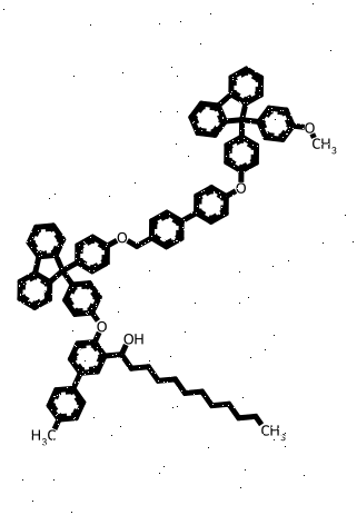 CCCCCCCCCCCC(O)c1cc(-c2ccc(C)cc2)ccc1Oc1ccc(C2(c3ccc(OCc4ccc(-c5ccc(Oc6ccc(C7(c8ccc(OC)cc8)c8ccccc8-c8ccccc87)cc6)cc5)cc4)cc3)c3ccccc3-c3ccccc32)cc1